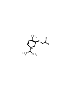 CC1=C(OCC(F)F)C[C@@H](C(C)N)C=C1